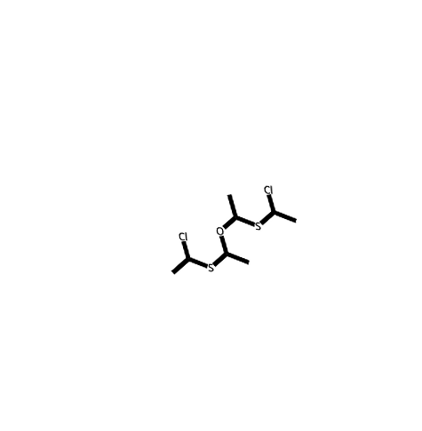 CC(Cl)SC(C)OC(C)SC(C)Cl